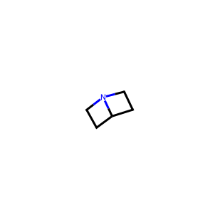 C1CN2CCC12